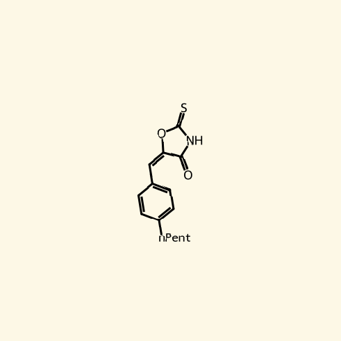 CCCCCc1ccc(C=C2OC(=S)NC2=O)cc1